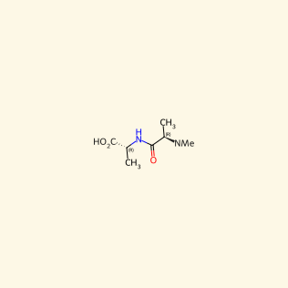 CN[C@H](C)C(=O)N[C@H](C)C(=O)O